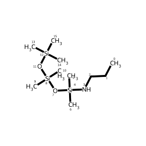 CCCN[Si](C)(C)O[Si](C)(C)O[Si](C)(C)C